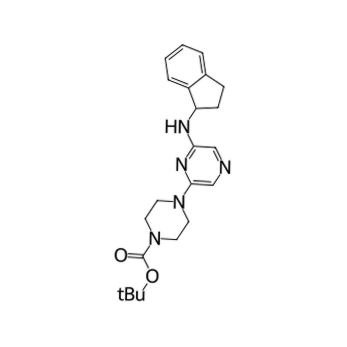 CC(C)(C)OC(=O)N1CCN(c2cncc(NC3CCc4ccccc43)n2)CC1